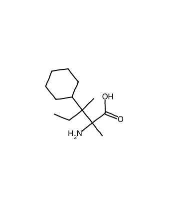 CCC(C)(C1CCCCC1)C(C)(N)C(=O)O